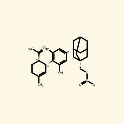 C=C(C)[C@@H]1CCC(C)=C[C@H]1c1c(O)cc([C@]23CC4CC(C[C@@](CO[N+](=O)[O-])(C4)C2)C3)cc1O